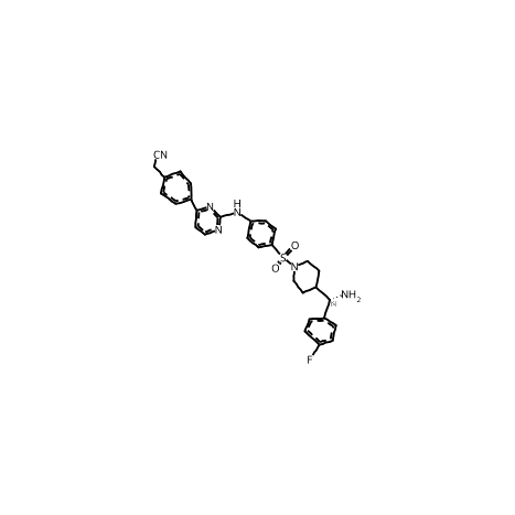 N#CCc1ccc(-c2ccnc(Nc3ccc(S(=O)(=O)N4CCC([C@H](N)c5ccc(F)cc5)CC4)cc3)n2)cc1